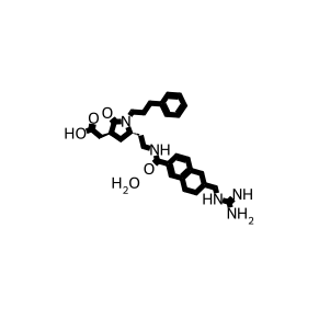 N=C(N)NCC1CCc2cc(C(=O)NCC[C@@H]3C[C@@H](CC(=O)O)C(=O)N3CCCc3ccccc3)ccc2C1.O